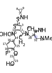 C=C(c1cc(SNC2CC2)sc1N(C=O)Cc1ccc(F)c(OCCO)c1)N(C)C/C(C=N)=C/NC